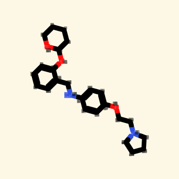 c1ccc(OC2CCCCO2)c(CNc2ccc(OCCN3CCCC3)cc2)c1